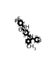 Cc1ccc2c(c1)c(C1CCOCC1)nn2C1CCN(C(=O)NC2CCC(F)(F)CC2)CC1